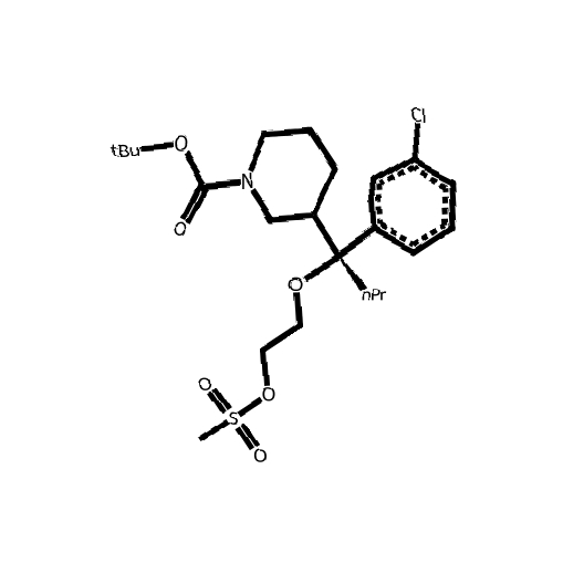 CCC[C@](OCCOS(C)(=O)=O)(c1cccc(Cl)c1)C1CCCN(C(=O)OC(C)(C)C)C1